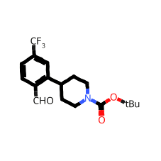 CC(C)(C)OC(=O)N1CCC(c2cc(C(F)(F)F)ccc2C=O)CC1